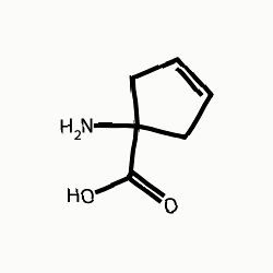 NC1(C(=O)O)CC=CC1